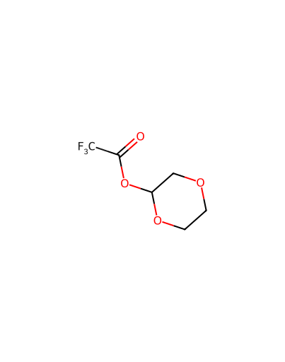 O=C(OC1COCCO1)C(F)(F)F